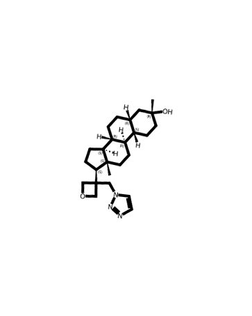 C[C@@]1(O)CC[C@H]2[C@H](CC[C@@H]3[C@@H]2CC[C@]2(C)[C@@H](C4(Cn5ccnn5)COC4)CC[C@@H]32)C1